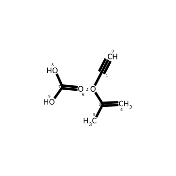 C#COC(=C)C.O=C(O)O